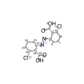 O=C(O)c1c(Cl)cccc1/N=N/c1cccc(Cl)c1C(=O)O